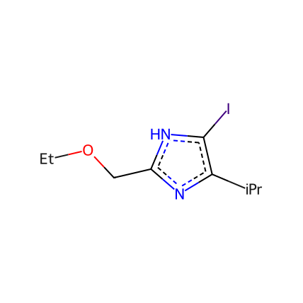 CCOCc1nc(C(C)C)c(I)[nH]1